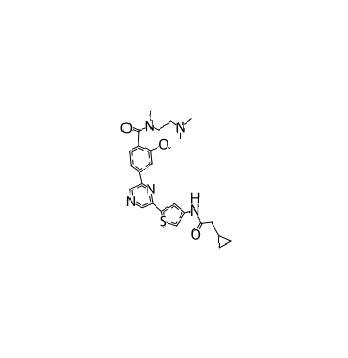 COc1cc(-c2cncc(-c3cc(NC(=O)CC4CC4)cs3)n2)ccc1C(=O)N(C)CCN(C)C